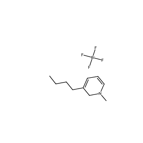 CCCCC1=CC=CN(C)C1.F[B-](F)(F)F